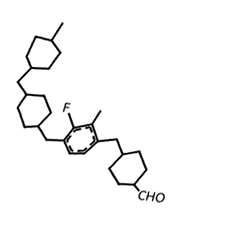 Cc1c(CC2CCC(C=O)CC2)ccc(CC2CCC(CC3CCC(C)CC3)CC2)c1F